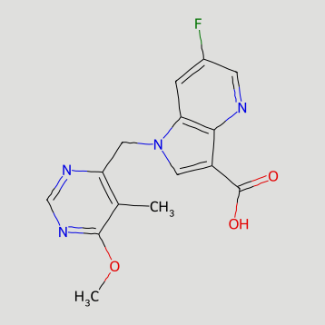 COc1ncnc(Cn2cc(C(=O)O)c3ncc(F)cc32)c1C